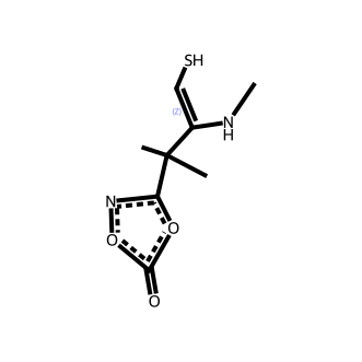 CN/C(=C\S)C(C)(C)c1noc(=O)o1